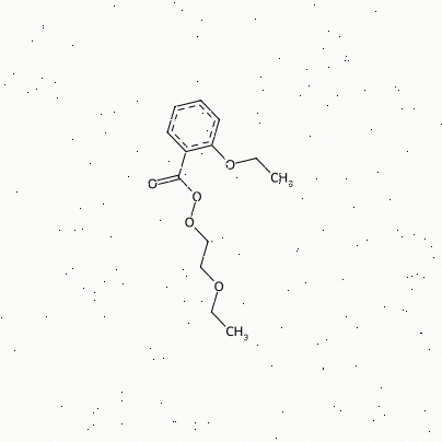 CCOC[CH]OOC(=O)c1ccccc1OCC